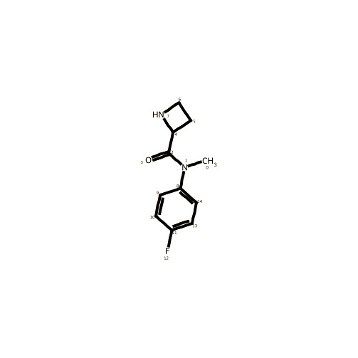 CN(C(=O)C1CCN1)c1ccc(F)cc1